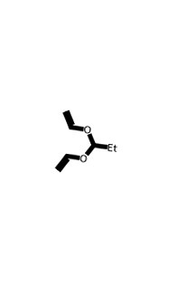 C=COC(CC)OC=C